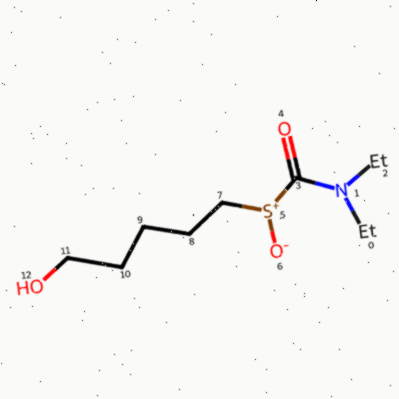 CCN(CC)C(=O)[S+]([O-])CCCCCO